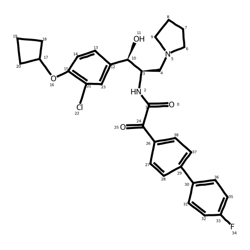 O=C(N[C@H](CN1CCCC1)[C@H](O)c1ccc(OC2CCC2)c(Cl)c1)C(=O)c1ccc(-c2ccc(F)cc2)cc1